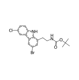 CC(C)(C)OC(=O)NCCc1cc(Br)cc2c1[nH]c1ccc(Cl)cc12